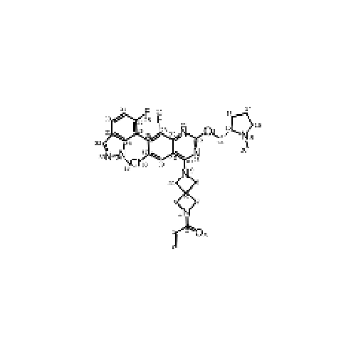 C=CC(=O)N1CC2(C1)CN(c1nc(OC[C@@H]3CCCN3C)nc3c(F)c(-c4c(F)ccc5cnn(C)c45)c(Cl)cc13)C2